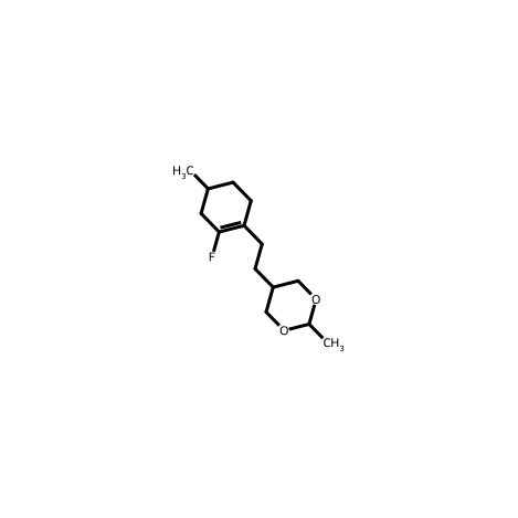 CC1CCC(CCC2COC(C)OC2)=C(F)C1